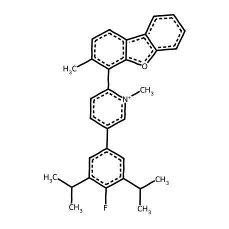 Cc1ccc2c(oc3ccccc32)c1-c1ccc(-c2cc(C(C)C)c(F)c(C(C)C)c2)c[n+]1C